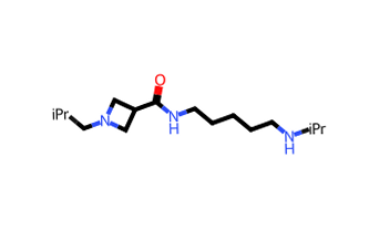 CC(C)CN1CC(C(=O)NCCCCCNC(C)C)C1